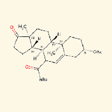 CCCCC(=O)C1C=C2C[C@@H](OC(C)=O)CC[C@]2(C)[C@H]2CC[C@]3(C)C(=O)CC[C@H]3[C@H]12